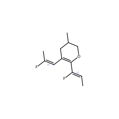 C/C=C(\F)C1=C(/C=C(\C)F)CC(C)CO1